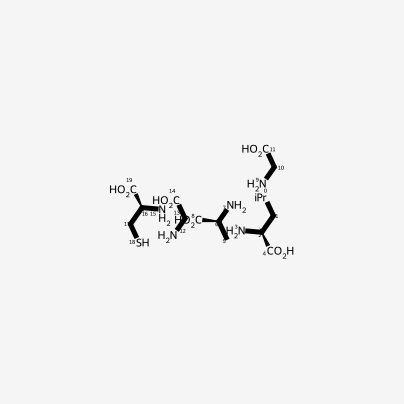 CC(C)C[C@H](N)C(=O)O.C[C@H](N)C(=O)O.NCC(=O)O.NCC(=O)O.N[C@@H](CS)C(=O)O